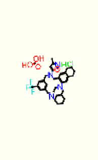 CCN(CC1CCCCC1)c1cc2c(cc1CN(Cc1cc(C#N)cc(C(F)(F)F)c1)c1cc(C)no1)CCCC2.Cl.O=C(O)O